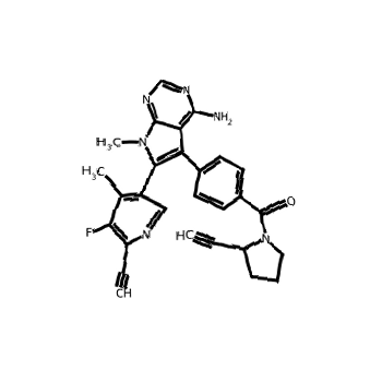 C#Cc1ncc(-c2c(-c3ccc(C(=O)N4CCCC4C#C)cc3)c3c(N)ncnc3n2C)c(C)c1F